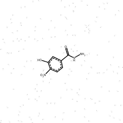 NNC(=O)c1ccc([N+](=O)[O-])c(O)c1